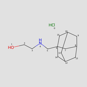 Cl.OCCNCC12CC3CC(CC(C3)C1)C2